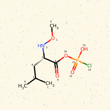 CON[C@@H](CC(C)C)C(=O)OP(=O)(O)Cl